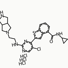 Cl.Cl.Cl.O=C(NC1CC1)c1cccc2sc(-c3nc(NCCN4CC5CNCC5C4)ncc3Cl)cc12